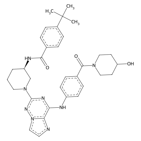 CC(C)(C)c1ccc(C(=O)N[C@@H]2CCCN(c3nc(Nc4ccc(C(=O)N5CCC(O)CC5)cc4)c4nccn4n3)C2)cc1